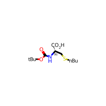 CCCCSC[C@H](NC(=O)OC(C)(C)C)C(=O)O